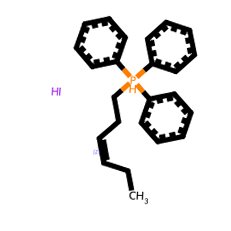 CC/C=C\CC[PH](c1ccccc1)(c1ccccc1)c1ccccc1.I